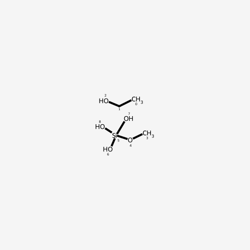 CCO.CO[Si](O)(O)O